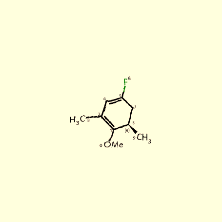 COC1=C(C)C=C(F)C[C@H]1C